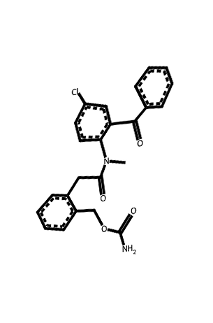 CN(C(=O)Cc1ccccc1COC(N)=O)c1ccc(Cl)cc1C(=O)c1ccccc1